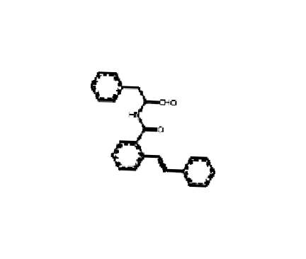 O=CC(Cc1ccccc1)NC(=O)c1ccccc1C=Cc1ccccc1